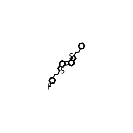 Fc1ccc(CCc2cc3ccc4c(c3s2)-c2ccc3cc(CCc5ccccc5)sc3c2-4)cc1